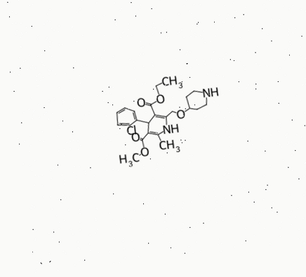 CCOC(=O)C1=C(COC2CCNCC2)NC(C)=C(C(=O)OC)C1c1ccccc1Cl